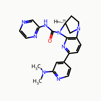 CN(C)c1cc(-c2ccc3c(n2)N(C(=O)Nc2cnccn2)[C@H]2CCN3C2)ccn1